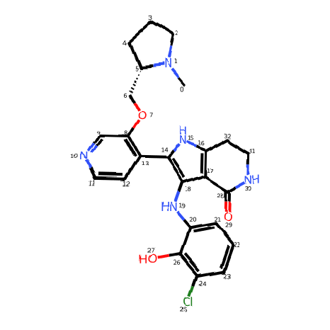 CN1CCC[C@H]1COc1cnccc1-c1[nH]c2c(c1Nc1cccc(Cl)c1O)C(=O)NCC2